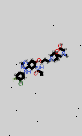 C=CC(=O)Nc1cc2c(Nc3ccc(F)c(Cl)c3)ncnc2cc1OCCCN1CCC2(CC1)CN(C)CC(=O)O2